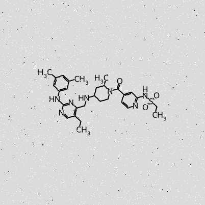 CCc1cnc(Nc2cc(C)cc(C)c2)nc1CNC1CCN(C(=O)c2ccnc(NS(=O)(=O)CC)c2)[C@H](C)C1